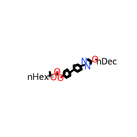 CCCCCCCCCCOc1cnc(-c2ccc(-c3ccc(OC(=O)O[C@H](C)CCCCCC)cc3)cc2)nc1